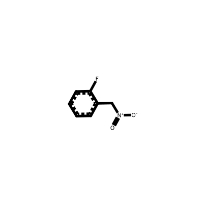 O=[N+]([O-])Cc1ccccc1F